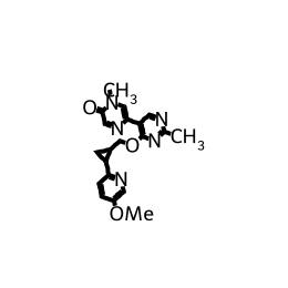 COc1ccc(C2CC2COc2nc(C)ncc2-c2cn(C)c(=O)cn2)nc1